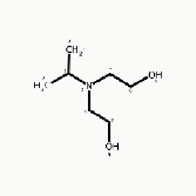 [CH2]C(C)N(CCO)CCO